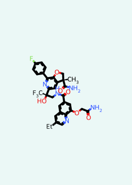 CCc1cnc2c(OCC(N)=O)cc(C(=O)NC[C@](O)(c3cc4c(c(-c5ccc(F)cc5)n3)OC[C@]4(C)C(N)=O)C(F)(F)F)cc2c1